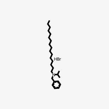 Br.CCCCCCCCCCCCCCCCN(Cc1ccccc1)C(C)C